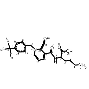 NCCCC(NC(=O)C1=CC=CN(Cc2ccc(C(F)(F)F)cc2)C1=C=O)C(=O)O